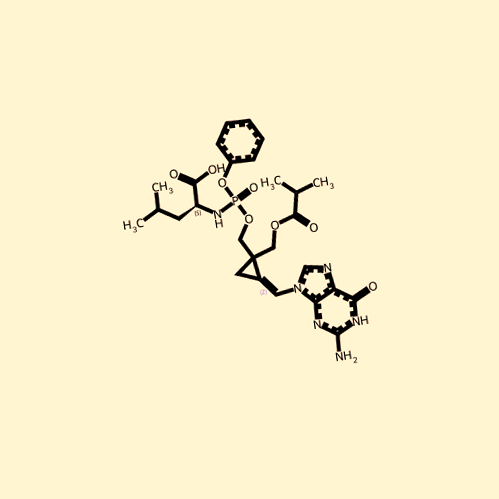 CC(C)C[C@H](NP(=O)(OCC1(COC(=O)C(C)C)C/C1=C/n1cnc2c(=O)[nH]c(N)nc21)Oc1ccccc1)C(=O)O